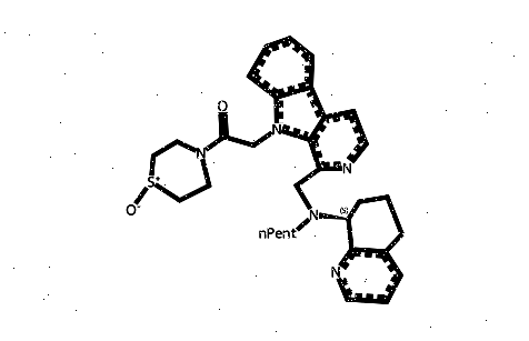 CCCCCN(Cc1nccc2c3ccccc3n(CC(=O)N3CC[S+]([O-])CC3)c12)[C@H]1CCCc2cccnc21